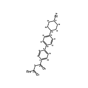 CCC(=O)CC(=O)c1ccc(-c2ccc(C3CCC(CC)CC3)cc2)cc1